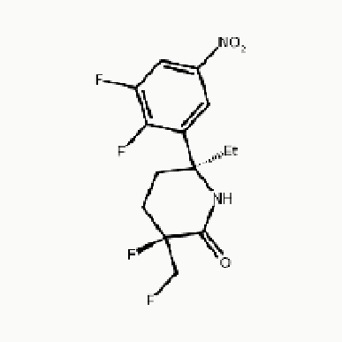 CC[C@@]1(c2cc([N+](=O)[O-])cc(F)c2F)CC[C@@](F)(CF)C(=O)N1